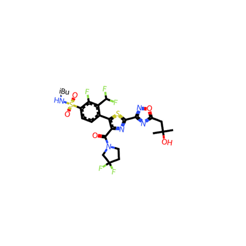 CC[C@@H](C)NS(=O)(=O)c1ccc(-c2sc(-c3noc(CC(C)(C)O)n3)nc2C(=O)N2CCC(F)(F)C2)c(C(F)F)c1F